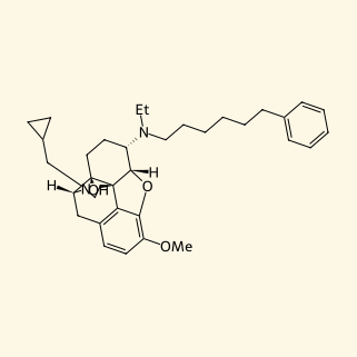 CCN(CCCCCCc1ccccc1)[C@H]1CC[C@@]2(O)[C@H]3Cc4ccc(OC)c5c4[C@@]2(CCN3CC2CC2)[C@H]1O5